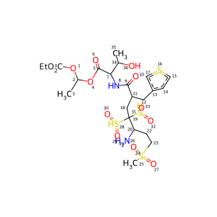 CCOC(=O)OC(C)OC(=O)C(NC(=O)C(Cc1ccsc1)CC(C(N)CCS(C)(=O)=O)([SH](=O)=O)[SH](=O)=O)C(C)O